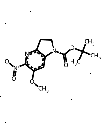 COc1cc2c(nc1[N+](=O)[O-])CCN2C(=O)OC(C)(C)C